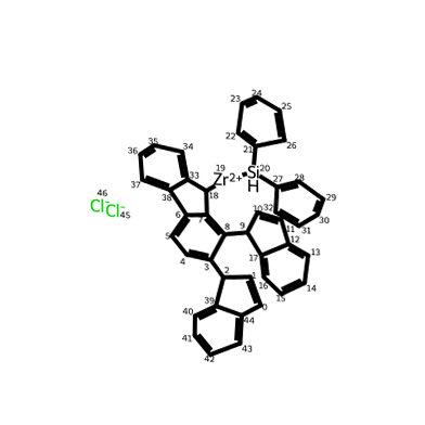 C1=CC(c2ccc3c(c2C2C=Cc4ccccc42)[CH]([Zr+2][SiH](c2ccccc2)c2ccccc2)c2ccccc2-3)c2ccccc21.[Cl-].[Cl-]